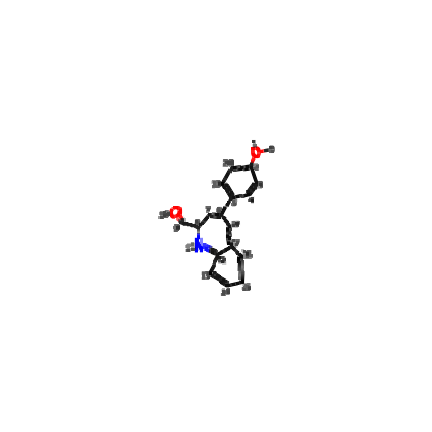 COc1ccc(C2=CC(C=O)N=c3ccccc3=C2)cc1